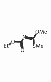 CCOC(=O)N=C(OC)SC